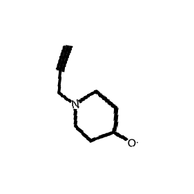 C#CCN1CCC([O])CC1